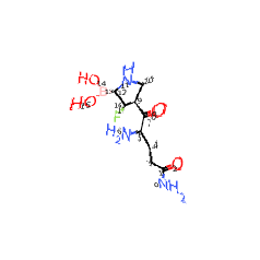 NC(=O)CCC(N)C(=O)[C@@H]1CN[C@@H](B(O)O)[C@@H]1F